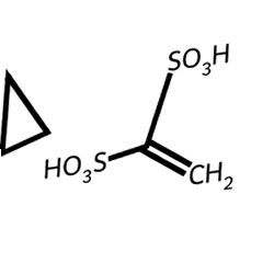 C1CC1.C=C(S(=O)(=O)O)S(=O)(=O)O